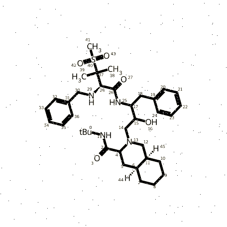 CC(C)(C)NC(=O)C1C[C@@H]2CCCC[C@@H]2CN1CC(O)C(Cc1ccccc1)NC(=O)[C@@H](NCc1ccccc1)C(C)(C)S(C)(=O)=O